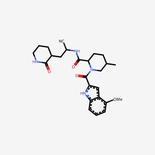 COc1cccc2[nH]c(C(=O)N3CC(C)CCC3C(=O)NC(C#N)CC3CCCNC3=O)cc12